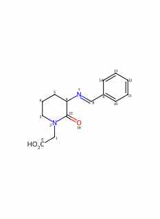 O=C(O)CN1CCCC(N=Cc2ccccc2)C1=O